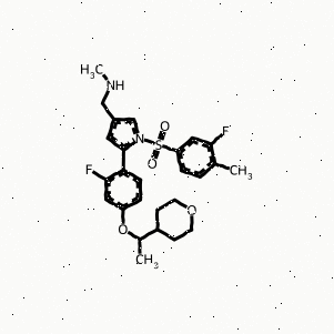 CNCc1cc(-c2ccc(OC(C)C3CCOCC3)cc2F)n(S(=O)(=O)c2ccc(C)c(F)c2)c1